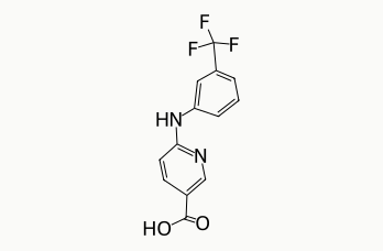 O=C(O)c1ccc(Nc2cccc(C(F)(F)F)c2)nc1